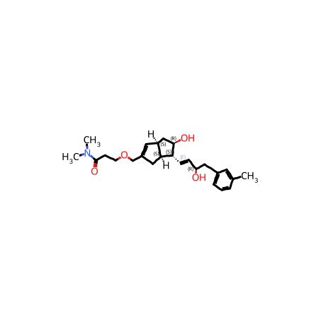 Cc1cccc(C[C@@H](O)/C=C/[C@@H]2[C@H]3CC(COCCC(=O)N(C)C)=C[C@H]3C[C@H]2O)c1